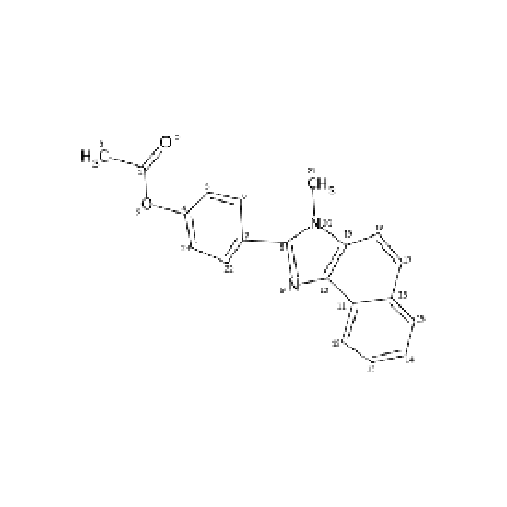 CC(=O)Oc1ccc(-c2nc3c4ccccc4ccc3n2C)cc1